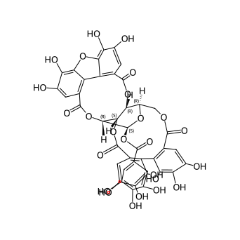 O=C(O[C@@H]1O[C@@H]2COC(=O)c3cc(O)c(O)c(O)c3-c3c(cc(O)c(O)c3O)C(=O)O[C@@H]3[C@H]1OC(=O)c1cc(O)c(O)c4oc5c(O)c(O)cc(c5c14)C(=O)O[C@@H]32)c1cc(O)c(O)c(O)c1